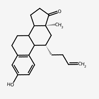 C=CCC[C@H]1C[C@]2(C)C(=O)CCC2C2CCc3cc(O)ccc3C21